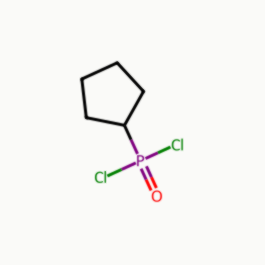 O=P(Cl)(Cl)C1CCCC1